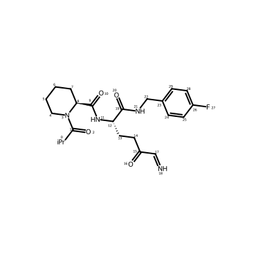 CC(C)C(=O)N1CCCC[C@H]1C(=O)N[C@@H](CCC(=O)C=N)C(=O)NCc1ccc(F)cc1